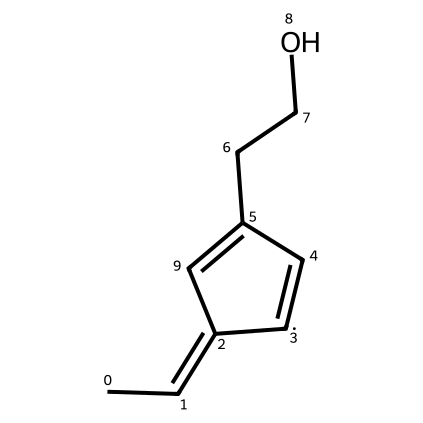 CC=C1[C]=CC(CCO)=C1